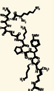 COc1ccc(CC(NC(=O)[C@@H]2CCCN2C(=O)[C@@H](CCCN)NC(=O)CNC(=O)C(C)NC(=O)[C@@H](NC(=O)[C@@H](N)CCCCN)[C@@H](O)CN)C(=O)N[C@@H](CCCCN)C(=O)N/C(=C\CCNC(=N)N)C(=O)O)cc1